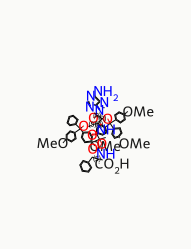 COc1ccc(C(OC[C@H]2O[C@@H](n3cnc4c(N)ncnc43)[C@H](OC(c3ccccc3)(c3ccc(OC)cc3)c3ccc(OC)cc3)[C@@H]2NC(=O)C(C)(C)OC(=O)N[C@@H](Cc2ccccc2)C(=O)O)(c2ccccc2)c2ccc(OC)cc2)cc1